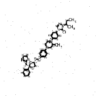 CCC(C)n1ncn(-c2ccc(N3CCN(c4ccc(OC[C@@H]5CO[C@@](Cn6nccn6)(c6ccccc6)O5)cc4)CC3C)cc2)c1=O